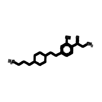 CCCCC1CCC(CCc2ccc(C(=O)CC)c(O)c2)CC1